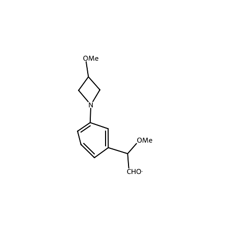 COC1CN(c2cccc(C([C]=O)OC)c2)C1